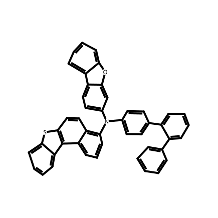 c1ccc(-c2ccccc2-c2ccc(N(c3ccc4c(c3)oc3ccccc34)c3cccc4c3ccc3sc5ccccc5c34)cc2)cc1